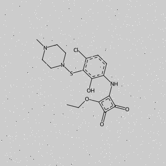 CCOc1c(Nc2ccc(Cl)c(SN3CCN(C)CC3)c2O)c(=O)c1=O